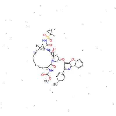 CC(C)(C)OC(=O)N[C@H]1CCCCC/C=C\[C@@H]2C[C@@]2(C(=O)NS(=O)(=O)C2(C)CC2)NC(=O)[C@@H]2C[C@@H](Oc3cc(-c4ccc(C(C)(C)C)cc4)nc4c3OC3C=CC=CC43)CN2C1=O